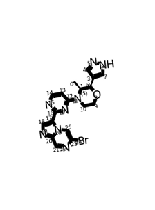 C[C@H]1[C@@H](c2cn[nH]c2)OCCN1c1ccnc(-c2cnc3cnc(Br)cn23)n1